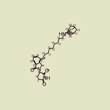 O=C1CCC(N2Cc3c(SCCCCCCCCNC45CC6CC(CC4C6)C5)cccc3C2=O)C(=O)N1